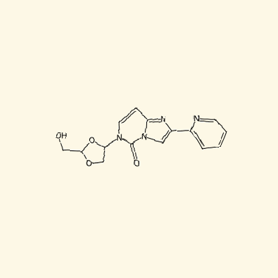 O=c1n(C2COC(CO)O2)ccc2nc(-c3ccccn3)cn12